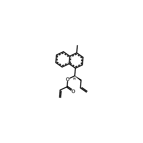 C=CC[C@@H](OC(=O)C=C)c1ccc(C)c2ccccc12